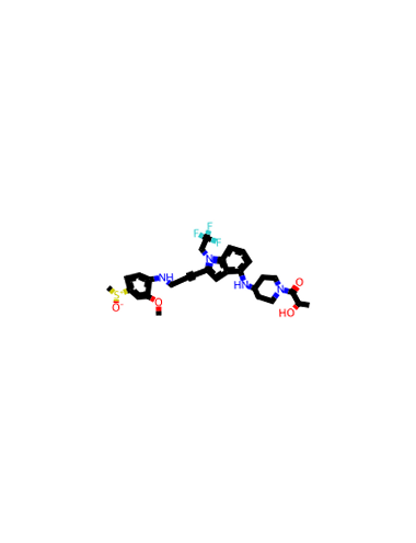 COc1cc([S+](C)[O-])ccc1NCC#Cc1cc2c(NC3CCN(C(=O)C(C)O)CC3)cccc2n1CC(F)(F)F